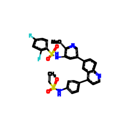 C=CS(=O)(=O)Nc1ccc(-c2ccnc3ccc(-c4cnc(OC)c(NS(=O)(=O)c5ccc(F)cc5F)c4)cc23)cc1